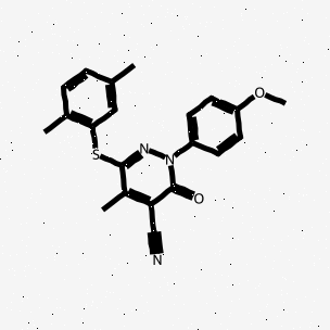 COc1ccc(-n2nc(Sc3cc(C)ccc3C)c(C)c(C#N)c2=O)cc1